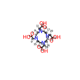 C[C@H](C(=O)O)N1C[C@H](C)N([C@H](C)C(=O)O)C[C@H](C)N([C@H](C)C(=O)O)C[C@H](C)N([C@H](C)C(=O)O)C[C@@H]1C